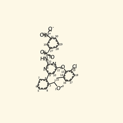 COCc1ccccc1-c1cc(Oc2c(C)cccc2Cl)nc(NS(=O)(=O)c2cccc([N+](=O)[O-])c2)n1